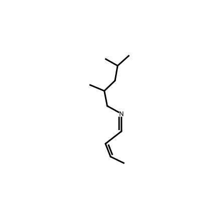 C/C=C\C=N/CC(C)CC(C)C